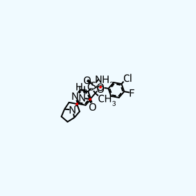 CC(C)(Oc1ccc(F)c(Cl)c1)C(=O)NC1CC2CCC(C1)N2c1ccc(S(N)(=O)=O)cn1